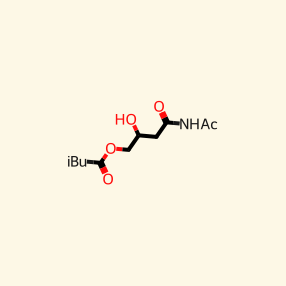 CCC(C)C(=O)OCC(O)CC(=O)NC(C)=O